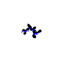 c1ccc(C2CC(c3ccc(-n4c5ccccc5c5c6c7ccccc7n(-c7ccc(C8CC(c9ccccc9)NC(c9ccccc9)N8)cc7)c6ccc54)cc3)=NC(c3ccccc3)N2)cc1